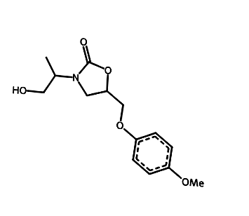 COc1ccc(OCC2CN(C(C)CO)C(=O)O2)cc1